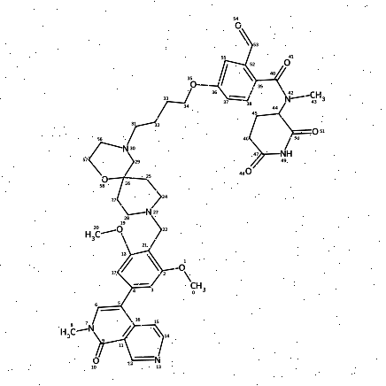 COc1cc(-c2cn(C)c(=O)c3cnccc23)cc(OC)c1CN1CCC2(CC1)CN(CCCCOc1ccc(C(=O)N(C)C3CCC(=O)NC3=O)c(C=O)c1)CCO2